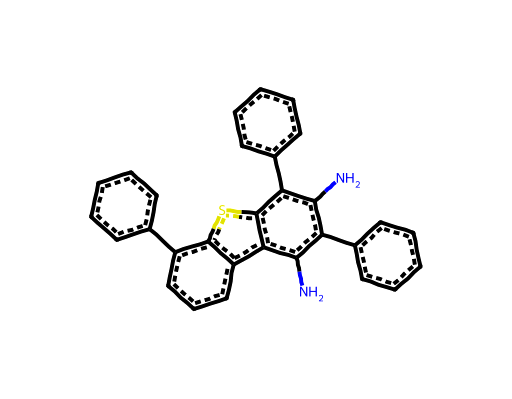 Nc1c(-c2ccccc2)c(N)c2c(sc3c(-c4ccccc4)cccc32)c1-c1ccccc1